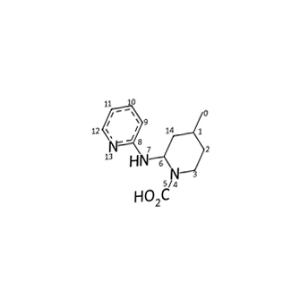 CC1CCN(C(=O)O)C(Nc2ccccn2)C1